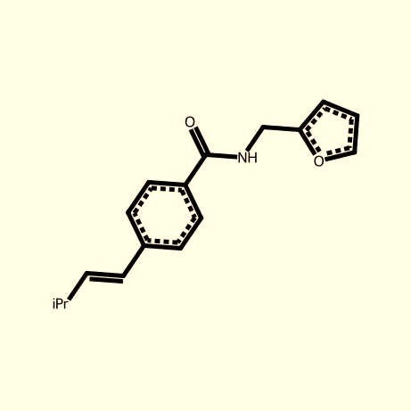 CC(C)/C=C/c1ccc(C(=O)NCc2ccco2)cc1